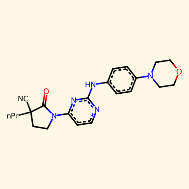 CCCC1(C#N)CCN(c2ccnc(Nc3ccc(N4CCOCC4)cc3)n2)C1=O